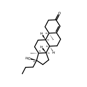 CCC[C@@]1(O)CC[C@H]2[C@@H]3CCC4=CC(=O)CC[C@]4(C)[C@H]3CC[C@@]21C